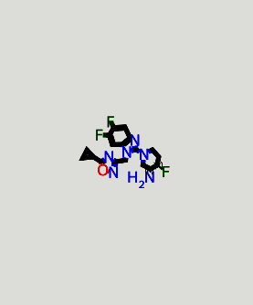 N[C@@H]1CN(c2nc3cc(F)c(F)cc3n2Cc2noc(C3CC3)n2)CC[C@H]1F